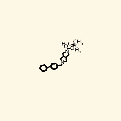 CC(C)(C)OC(=O)N1CC2CN(Cc3ccc(-c4ccccc4)cc3)CC2C1